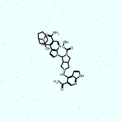 CC(C)(C)OC(=O)N1CC2CN(Nc3c(C(N)=O)cnc4[nH]ccc34)CC2C1n1ccc2c(NN3C4CCC3CC(O)C4)c(C(N)=O)cnc21